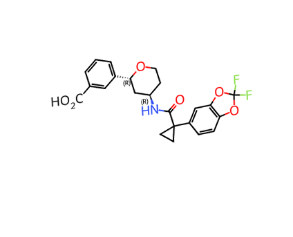 O=C(O)c1cccc([C@H]2C[C@H](NC(=O)C3(c4ccc5c(c4)OC(F)(F)O5)CC3)CCO2)c1